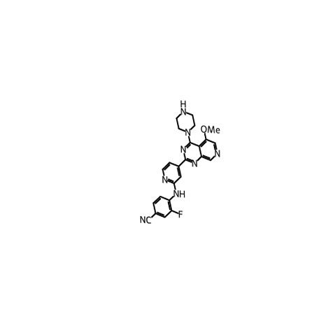 COc1cncc2nc(-c3ccnc(Nc4ccc(C#N)cc4F)c3)nc(N3CCNCC3)c12